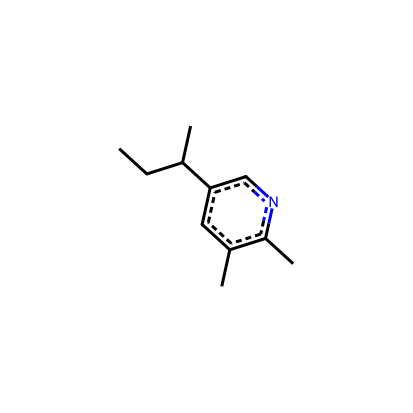 CCC(C)c1cnc(C)c(C)c1